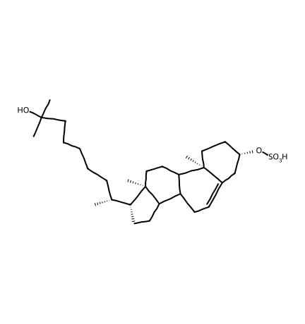 C[C@H](CCCCCC(C)(C)O)[C@H]1CCC2C3CC=C4C[C@@H](OS(=O)(=O)O)CC[C@]4(C)C3CC[C@@]21C